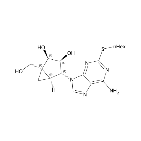 CCCCCCSc1nc(N)c2ncn([C@H]3[C@H](O)[C@H](O)[C@]4(CO)C[C@H]34)c2n1